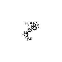 Cc1nc(C2CCN(c3ccc4ncnc([AsH2])c4n3)C2)cc([As](C)C)n1